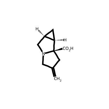 C=C1CN2C[C@H]3C[C@H]3[C@]2(C(=O)O)C1